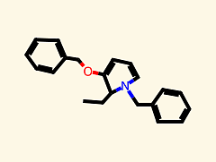 CCC1C(OCc2ccccc2)=CC=CN1Cc1ccccc1